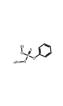 CCCSP(=S)(OCC)Oc1ccccc1